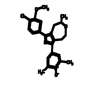 COc1cc(-c2nc(-c3cc(C)[n+]([O-])c(C)c3)c3n2C[C@@H](C)OCC3)ccc1Cl